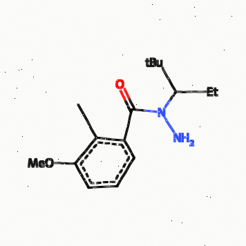 CCC(N(N)C(=O)c1cccc(OC)c1C)C(C)(C)C